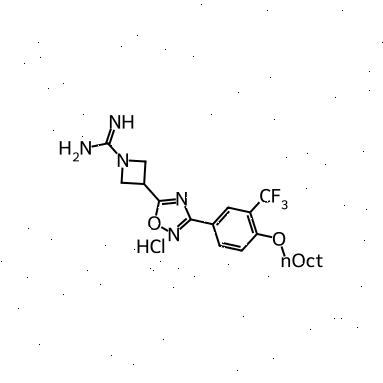 CCCCCCCCOc1ccc(-c2noc(C3CN(C(=N)N)C3)n2)cc1C(F)(F)F.Cl